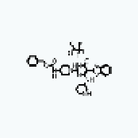 O=C(NC1CCN(c2nc(N[C@@H]3CCCNC3)c(-c3nc4ccccc4s3)c(=O)[nH]2)CC1)OCc1ccccc1.O=C(O)C(F)(F)F